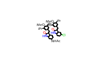 COc1c(C(C)C)cc(/C=C2\C(=O)Nc3cc(NC(C)=O)ccc32)cc1C(C)C.COc1c(C(C)C)cc(/C=C2\C(=O)Nc3ccc(Cl)cc32)cc1C(C)C